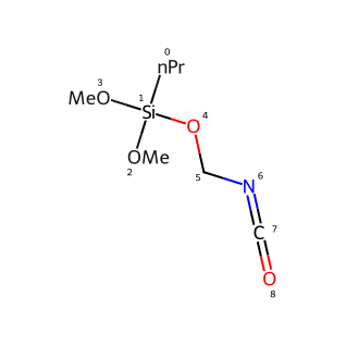 CCC[Si](OC)(OC)OCN=C=O